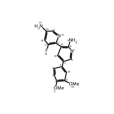 COc1ccc(-c2cnc(N)c(-c3ncc(N)cc3F)c2)cc1OC